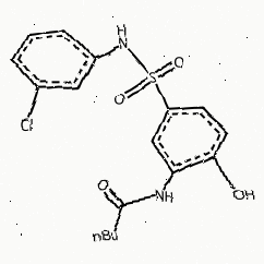 CCCCC(=O)Nc1cc(S(=O)(=O)Nc2cccc(Cl)c2)ccc1O